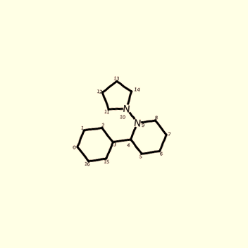 C1CCC(C2CCCCN2N2CCCC2)CC1